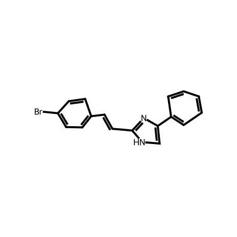 Brc1ccc(/C=C/c2nc(-c3ccccc3)c[nH]2)cc1